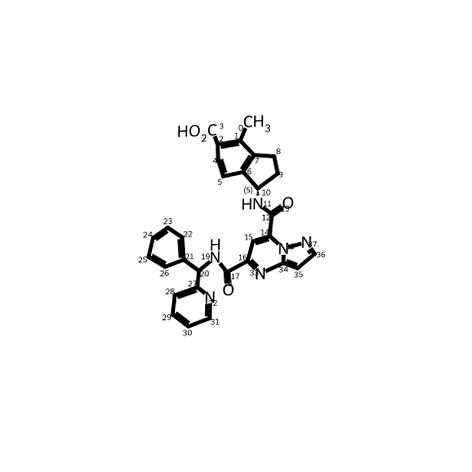 Cc1c(C(=O)O)ccc2c1CC[C@@H]2NC(=O)c1cc(C(=O)NC(c2ccccc2)c2ccccn2)nc2ccnn12